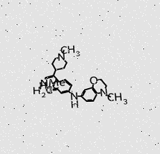 C=C/C=C(\C=C/C(C)/C(=C\NC)C1CCN(C)CC1)Nc1ccc2c(c1)OCCN2C